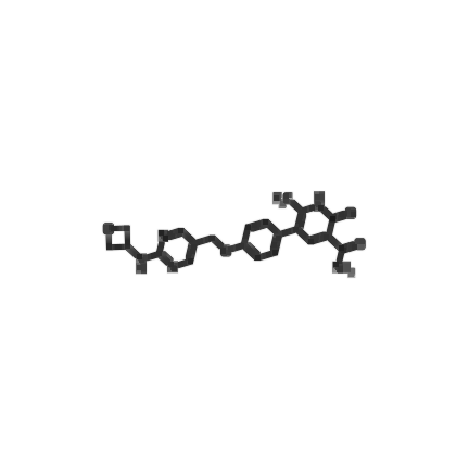 NC(=O)c1cc(-c2ccc(OCc3cnc(NC4COC4)nc3)cc2)c(C(F)(F)F)[nH]c1=O